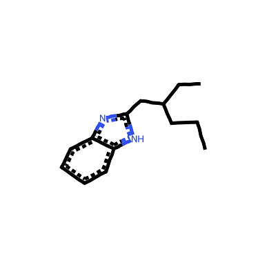 CCCC(CC)Cc1nc2ccccc2[nH]1